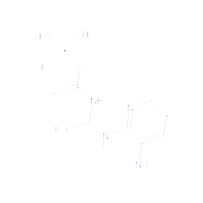 CC(NC(=O)OC(C)(C)C)Nc1ncccc1N